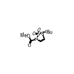 COC(=O)N1CCN(C(C)(C)C)S1(=O)=O